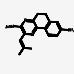 CC(=O)Nc1nc2c(nc1C=C(C)C)-c1ccc(N)cc1CC2